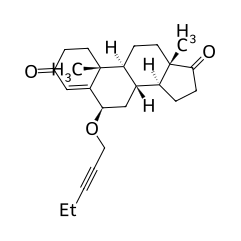 CCC#CCO[C@@H]1C[C@@H]2[C@H](CC[C@]3(C)C(=O)CC[C@@H]23)[C@@]2(C)CCC(=O)C=C12